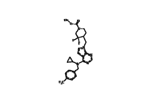 CC(C)(C)OC(=O)N1CCC(Cn2ccc3c(N(Cc4ccc(C(F)(F)F)cc4)C4CC4)ncnc32)C(F)(F)C1